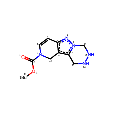 CC(C)(C)OC(=O)N1C=Cc2nn3c(c2C1)CNNC3